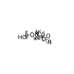 COC1(C(=O)c2cc3c(N[C@H](C)c4cccc(C(F)(F)CO)c4)nnc(C)c3s2)CCN(C)CC1